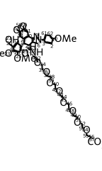 COc1ccc(N2C[C@@H]3C(=N2)c2cc4c(cc2[C@@H](c2cc(CO)c(OC)c(OC)c2)[C@H]3C(=O)NCCOCCOCCOCCOCCOCCOCCOCCOCCC(=O)O)OCO4)cc1